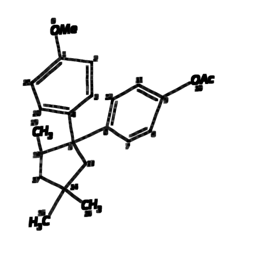 COc1ccc(C2(c3ccc(OC(C)=O)cc3)CC(C)(C)CC2C)cc1